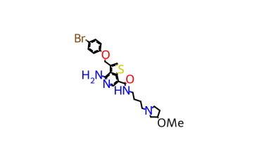 COC1CCN(CCCCNC(=O)c2cnc(N)c3c(COc4ccc(Br)cc4)csc23)C1